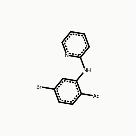 CC(=O)c1ccc(Br)cc1Nc1ccccn1